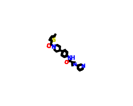 Cc1ccc(C(=O)N2CCC(c3ccc(NC(=O)C4CN(c5cccnc5)C4)cc3)CC2)s1